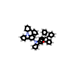 c1ccc(-c2ccccc2-n2c3ccccc3c3cc(-n4c5ccccc5c5cc(-c6ccccc6[Si](c6ccccc6)(c6ccccc6)c6ccccc6)ccc54)ccc32)cc1